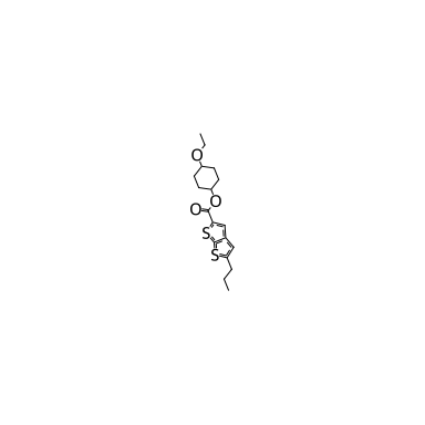 CCCc1cc2cc(C(=O)OC3CCC(OCC)CC3)sc2s1